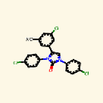 N#Cc1cc(Cl)cc(-c2cn(-c3ccc(Cl)cc3)c(=O)n2-c2ccc(Cl)cc2)c1